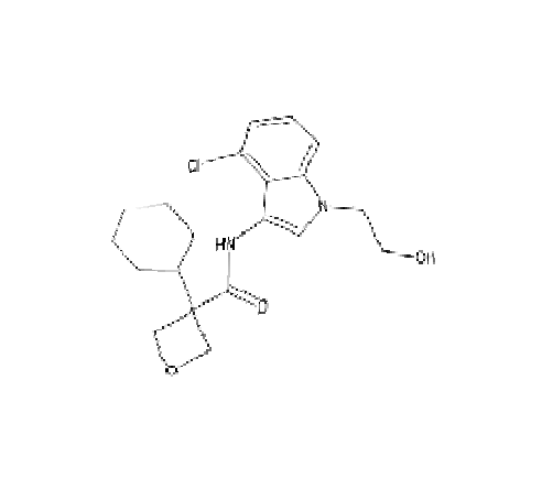 O=C(Nc1cn(CCO)c2cccc(Cl)c12)C1(C2CCCCC2)COC1